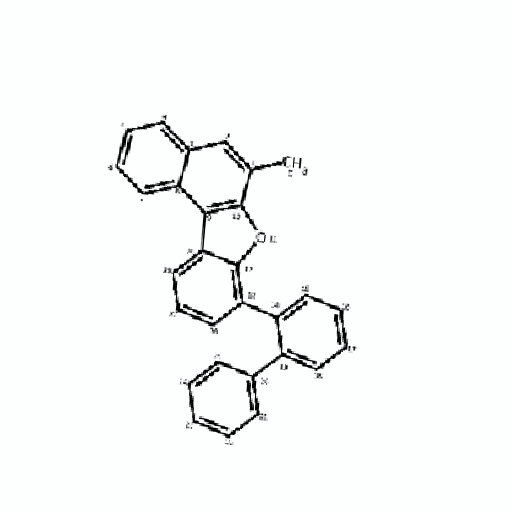 Cc1cc2ccccc2c2c1oc1c(-c3ccccc3-c3ccccc3)cccc12